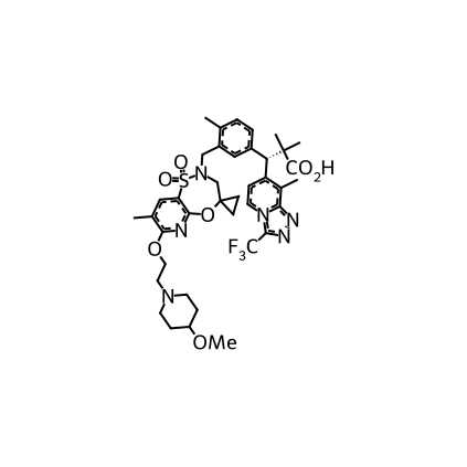 COC1CCN(CCOc2nc3c(cc2C)S(=O)(=O)N(Cc2cc([C@@H](c4ccn5c(C(F)(F)F)nnc5c4C)C(C)(C)C(=O)O)ccc2C)CC2(CC2)O3)CC1